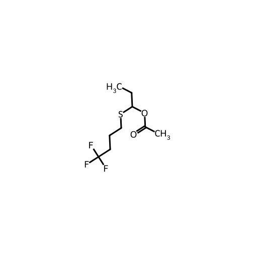 CCC(OC(C)=O)SCCCC(F)(F)F